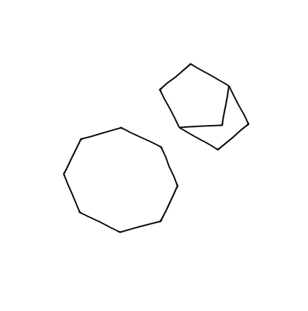 C1CC2CCC1C2.C1CCCCCCC1